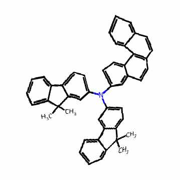 CC1(C)c2ccccc2-c2cc(N(c3ccc4c(c3)C(C)(C)c3ccccc3-4)c3ccc4c(ccc5ccc6ccccc6c54)c3)ccc21